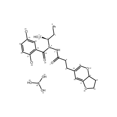 CC(C)C[C@H](C(=O)O)N(NC(=O)CCC1=COC2CCOC2=C1)C(=O)c1cc(Cl)ccc1Cl.OB(O)O